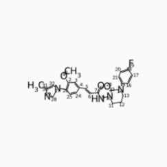 COc1cc(C=CC(=O)NN2CCCN(c3ccc(F)cc3)C2=O)ccc1-n1cnc(C)c1